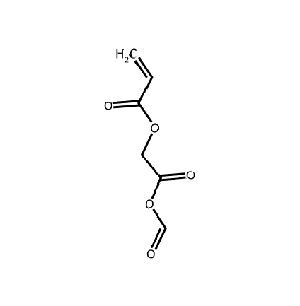 C=CC(=O)OCC(=O)OC=O